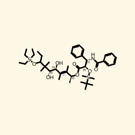 CCC(O[Si](CC)(CC)CC)C(C)(C)[C@@H](O)[C@@H](O)/C(C)=C(\C)[C@H](C)OC(=O)[C@H](O[Si](C)(C)C(C)(C)C)[C@@H](NC(=O)c1ccccc1)c1ccccc1